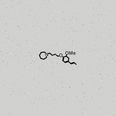 C/C=C/C1=CC=C(OCCCCN2CCCCCC2)C(OC)C1